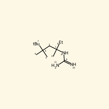 CCC(C)(CC(C)(C)C(C)(C)C)NC(=N)N